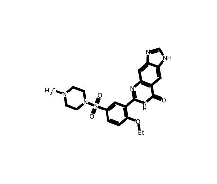 CCOc1ccc(S(=O)(=O)N2CCN(C)CC2)cc1-c1nc2cc3nc[nH]c3cc2c(=O)[nH]1